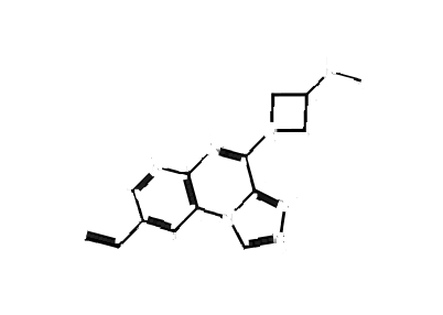 C=Cc1cnc2nc(N3CC(NC)C3)c3nncn3c2c1